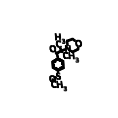 COSc1ccc(C(=O)C(C)(C)N2CCOCC2)cc1